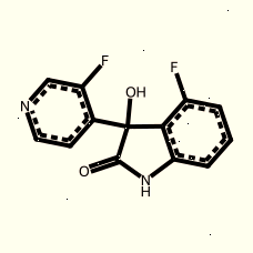 O=C1Nc2cccc(F)c2C1(O)c1ccncc1F